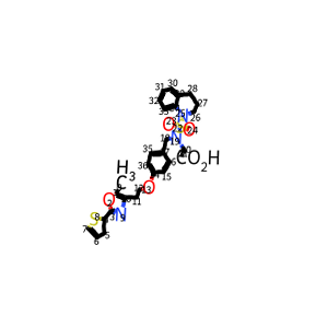 Cc1oc(C2CC=CS2)nc1CCOc1ccc(CN(CC(=O)O)S(=O)(=O)N2CCCc3ccccc32)cc1